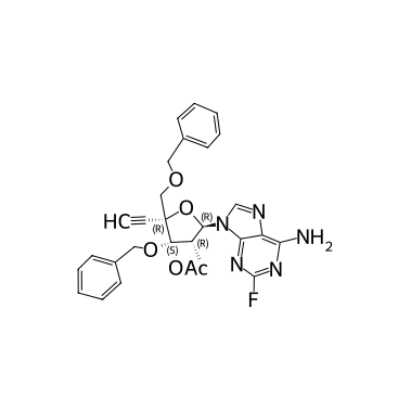 C#C[C@]1(COCc2ccccc2)O[C@@H](n2cnc3c(N)nc(F)nc32)[C@H](OC(C)=O)[C@@H]1OCc1ccccc1